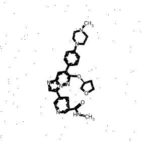 CNC(=O)c1cncc(-c2cnc3cc(-c4ccc(N5CCN(C)CC5)cc4)c(O[C@H]4CCOC4)nn23)c1